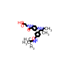 CCC(C)C(Nc1ccc(C(=O)NCCC(=O)O)cc1)c1ccc(-c2nnc(C(C)(C)C)o2)cc1